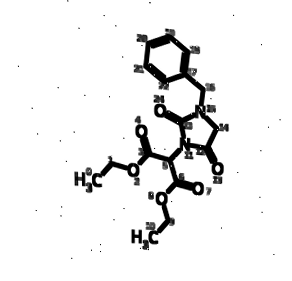 CCOC(=O)C(C(=O)OCC)N1C(=O)CN(Cc2ccccc2)C1=O